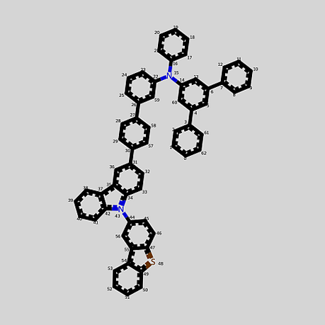 c1ccc(-c2cc(-c3ccccc3)cc(N(c3ccccc3)c3cccc(-c4ccc(-c5ccc6c(c5)c5ccccc5n6-c5ccc6sc7ccccc7c6c5)cc4)c3)c2)cc1